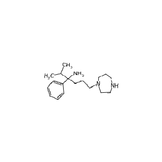 CC(C)C(N)(CCCN1CCCNCC1)c1ccccc1